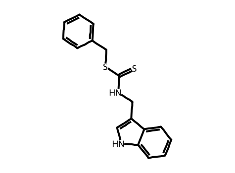 S=C(NCc1c[nH]c2ccccc12)SCc1ccccc1